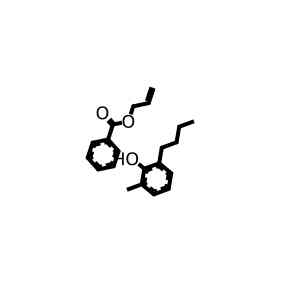 C=CCOC(=O)c1ccccc1.CCCCc1cccc(C)c1O